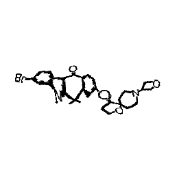 Cn1c2c(c3ccc(Br)cc31)C(=O)c1ccc(OC3CCOC34CCN(C3COC3)CC4)cc1C2(C)C